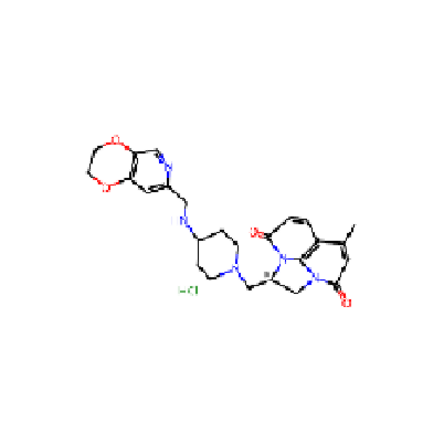 Cc1cc(=O)n2c3c1ccc(=O)n3[C@H](CN1CCC(NCc3cc4c(cn3)OCCO4)CC1)C2.Cl